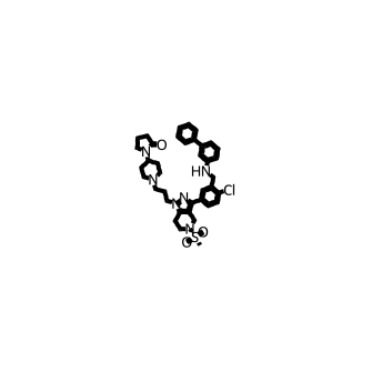 CS(=O)(=O)N1CCc2c(c(-c3ccc(Cl)c(CNc4cccc(-c5ccccc5)c4)c3)nn2CCCN2CCC(N3CCCC3=O)CC2)C1